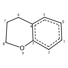 [c]1ccc2c(c1)CC[CH]O2